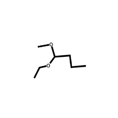 CCCC(OC)OCC